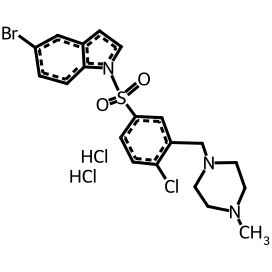 CN1CCN(Cc2cc(S(=O)(=O)n3ccc4cc(Br)ccc43)ccc2Cl)CC1.Cl.Cl